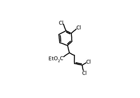 CCOC(=O)C(CC=C(Cl)Cl)c1ccc(Cl)c(Cl)c1